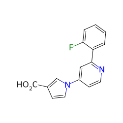 O=C(O)c1ccn(-c2ccnc(-c3ccccc3F)c2)c1